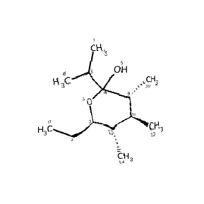 CC[C@H]1OC(O)(C(C)C)[C@H](C)[C@@H](C)[C@@H]1C